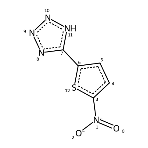 O=[N+]([O-])c1ccc(-c2nnn[nH]2)s1